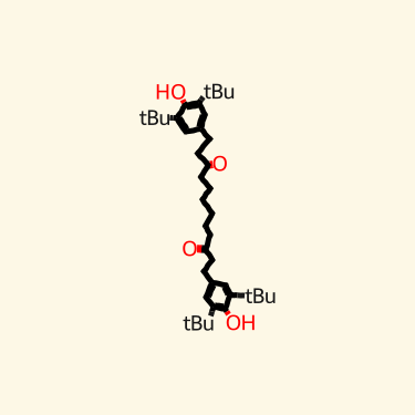 CC(C)(C)c1cc(CCC(=O)CCCCCCC(=O)CCc2cc(C(C)(C)C)c(O)c(C(C)(C)C)c2)cc(C(C)(C)C)c1O